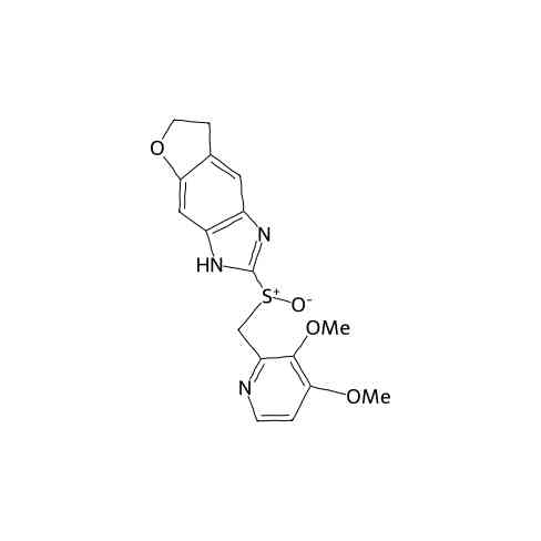 COc1ccnc(C[S+]([O-])c2nc3cc4c(cc3[nH]2)OCC4)c1OC